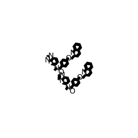 CN(C(=O)c1ccc(OCc2ccc3ccccc3n2)cc1)c1ccc2nccn2c1.CN(C(=O)c1ccc(OCc2ccc3ccccc3n2)cc1)c1ccc2ncnn2c1